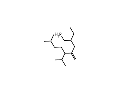 C=C(CC(CC)CP)C(CCC(C)C)C(C)C